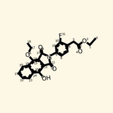 CCOC(=O)Cc1ccc(N2C(=O)c3c(c(OCC)c4ccccc4c3O)C2=O)cc1F